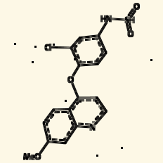 COc1ccc2c(Oc3ccc(N[SH](=O)=O)cc3Cl)ccnc2c1